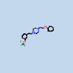 FC(F)(F)Oc1cccc(CCN2CCN(CCOc3ccccc3)CC2)c1